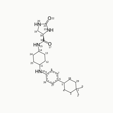 CC1(C)CCC(c2ccc(NC3CCC(NC(=O)[C@H]4CNC(=O)N4)CC3)cc2)CC1